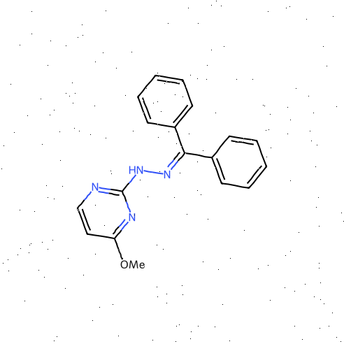 COc1ccnc(NN=C(c2ccccc2)c2ccccc2)n1